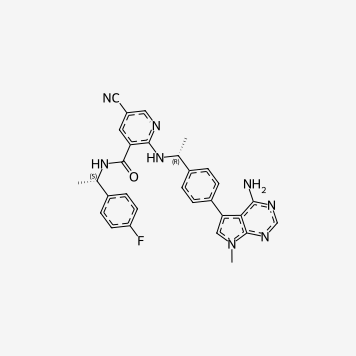 C[C@H](NC(=O)c1cc(C#N)cnc1N[C@H](C)c1ccc(-c2cn(C)c3ncnc(N)c23)cc1)c1ccc(F)cc1